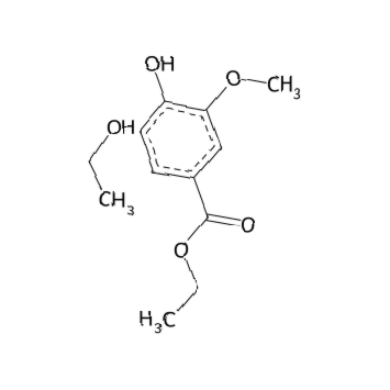 CCO.CCOC(=O)c1ccc(O)c(OC)c1